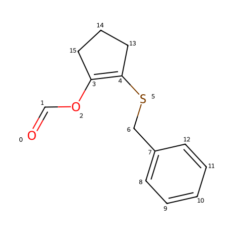 O=COC1=C(SCc2ccccc2)CCC1